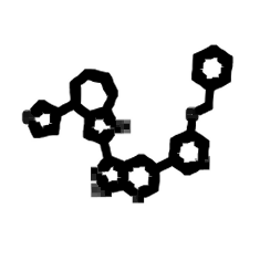 C1=CC=C(c2ccoc2)c2cc(-c3n[nH]c4ncc(-c5cncc(OCc6ccccc6)c5)cc34)[nH]c2C=1